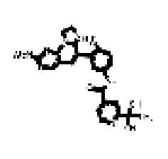 CNc1ncc2c(n1)N1CCN=C1C(c1cc(NC(=O)c3ccnc(C(C)(C)C#N)c3)ccc1C)=C2